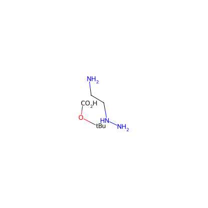 CC(C)(C)OC(=O)O.NCCNN